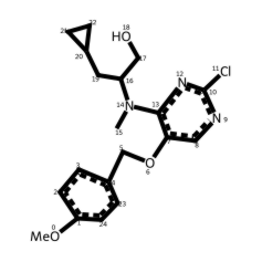 COc1ccc(COc2cnc(Cl)nc2N(C)C(CO)CC2CC2)cc1